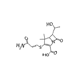 CC(O)C1C(=O)N2C(C(=O)O)=C(SC=CC(N)=O)C(C)(C)C12